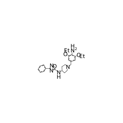 CCOc1cc(CN2CCC(Nc3nc(-c4ccccc4)no3)CC2)cc(OCC)c1N